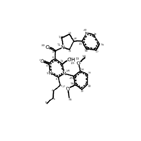 CCCCc1nc(=O)c(C(=O)N2CCC(c3ccccn3)C2)c(O)n1-c1c(OC)cccc1OC